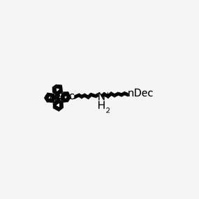 CCCCCCCCCCCCCCCCCC[NH2+]CCCCCCCCCCCCCCCCCC.c1ccc([B-](c2ccccc2)(c2ccccc2)c2ccccc2)cc1